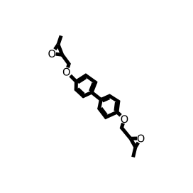 CC1OC1COc1ccc(-c2ccc(OCC3OC3C)cc2)cc1